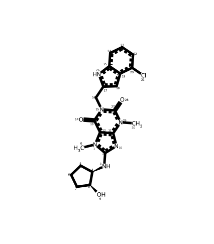 Cn1c(N[C@@H]2CCC[C@@H]2O)nc2c1c(=O)n(Cc1cc3c(Cl)cccc3[nH]1)c(=O)n2C